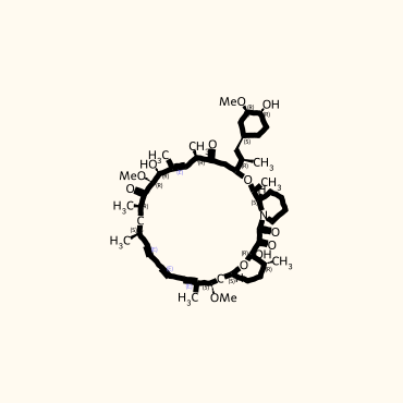 CO[C@H]1C[C@@H]2CC[C@@H](C)[C@@](O)(O2)C(=O)C(=O)N2CCCC[C@H]2C(C)OC([C@H](C)C[C@@H]2CC[C@@H](O)[C@H](OC)C2)CC(=O)[C@H](C)/C=C(\C)[C@@H](O)[C@@H](OC)C(=O)[C@H](C)C[C@H](C)/C=C/C=C/C=C/1C